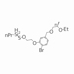 CCC[SiH2]SOCCOc1cc(COC[C@@H](C)OCC)ccc1Br